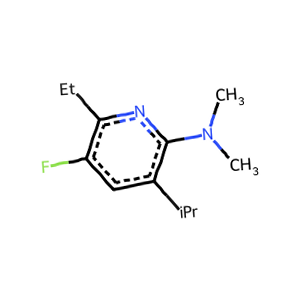 CCc1nc(N(C)C)c(C(C)C)cc1F